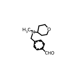 CN(Cc1ccc(C=O)cc1)C1CCOCC1